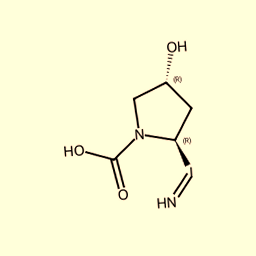 N=I[C@@H]1C[C@@H](O)CN1C(=O)O